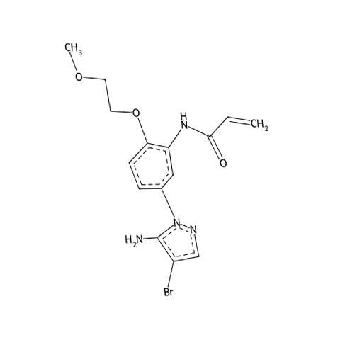 C=CC(=O)Nc1cc(-n2ncc(Br)c2N)ccc1OCCOC